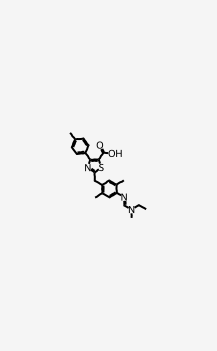 CCN(C)/C=N/c1cc(C)c(Cc2nc(-c3ccc(C)cc3)c(C(=O)O)s2)cc1C